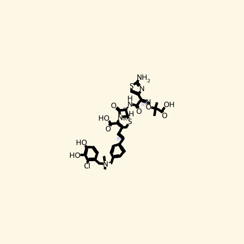 CC(C)(O/N=C(\C(=O)N[C@@H]1C(=O)N2C(C(=O)O)=C(/C=C/c3ccc(C[N+](C)(C)Cc4ccc(O)c(O)c4Cl)cc3)CS[C@H]12)c1csc(N)n1)C(=O)O